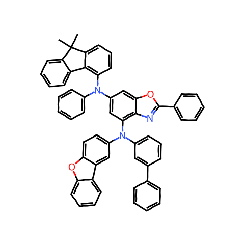 CC1(C)c2ccccc2-c2c(N(c3ccccc3)c3cc(N(c4cccc(-c5ccccc5)c4)c4ccc5oc6ccccc6c5c4)c4nc(-c5ccccc5)oc4c3)cccc21